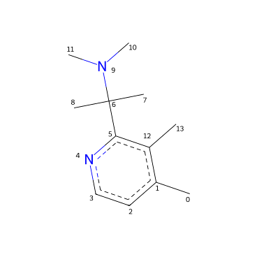 Cc1ccnc(C(C)(C)N(C)C)c1C